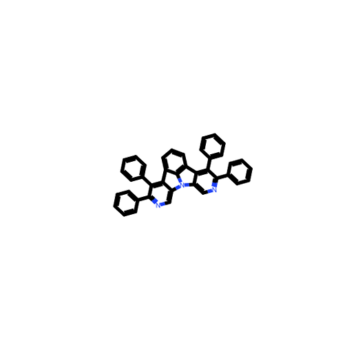 c1ccc(-c2ncc3c(c2-c2ccccc2)c2cccc4c5c(-c6ccccc6)c(-c6ccccc6)ncc5n3c24)cc1